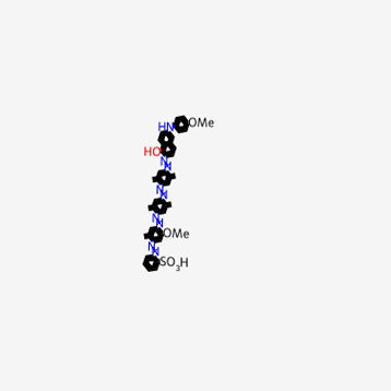 COc1ccc(Nc2ccc3c(O)c(N=Nc4cc(C)c(N=Nc5cc(C)c(N=Nc6cc(C)c(N=Nc7ccccc7S(=O)(=O)O)cc6OC)cc5C)cc4C)ccc3c2)cc1